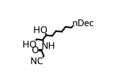 CCCCCCCCCCCCCCCC(O)C(CO)NC(=O)CC#N